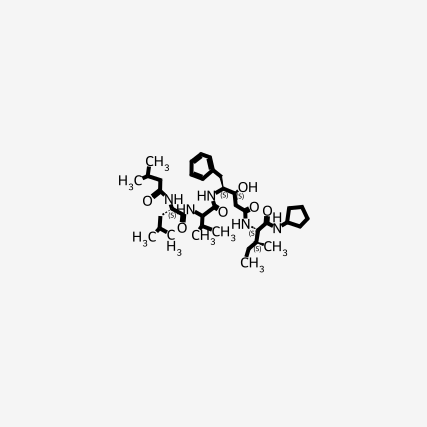 CC[C@H](C)[C@H](NC(=O)C[C@H](O)[C@H](Cc1ccccc1)NC(=O)C(NC(=O)[C@H](CC(C)C)NC(=O)CC(C)C)C(C)C)C(=O)NC1CCCC1